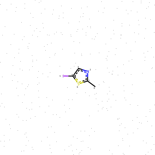 Cc1ncc(I)s1